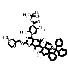 Cc1ccc2c(c(C)nn2C(c2ccccc2)(c2ccccc2)c2ccccc2)c1-c1c(Cl)cc2c(N3C[C@@H](C)N(C(=O)OC(C)(C)C)C[C@@H]3C)nc(OCC3CN(C)CCO3)nc2c1F